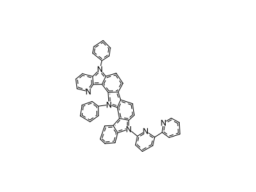 c1ccc(-n2c3cccnc3c3c2ccc2c4ccc5c(c6ccccc6n5-c5cccc(-c6ccccn6)n5)c4n(-c4ccccc4)c23)cc1